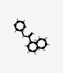 C=C(Cc1ccccc1)c1cccc2ccccc12